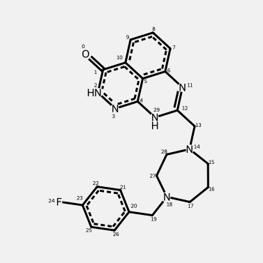 O=c1[nH]nc2c3c(cccc13)N=C(CN1CCCN(Cc3ccc(F)cc3)CC1)N2